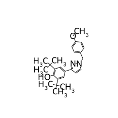 COc1ccc(Cn2ccc(-c3cc(C(C)(C)C)c(O)c(C(C)(C)C)c3)n2)cc1